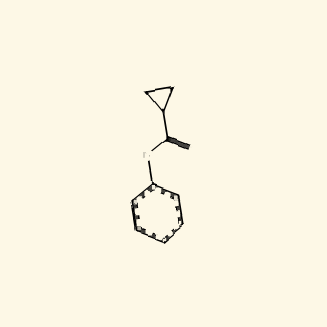 O=C(Nc1ccccc1)C1CC1